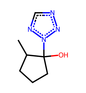 CC1CCCC1(O)n1ncnn1